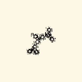 Fc1ccc2c(c1)c1cc(-c3ccc4c(c3)c3ccccc3n4-c3ccccc3)ccc1n2-c1ccc(-c2cc(-c3ccccc3)nc(-c3ccccc3)n2)cc1